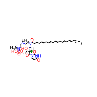 CCC=CCC=CCC=CCC=CCC=CCCCC(=O)NCCN(C)CCN(C)P(=O)(O)OC[C@H]1O[C@@H](n2ccc(=O)[nH]c2=O)[C@](C)(F)[C@@H]1O